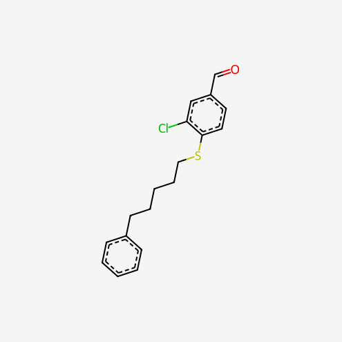 O=Cc1ccc(SCCCCCc2ccccc2)c(Cl)c1